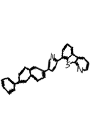 c1ccc(-c2ccc3cc(-c4ccc(-c5cccc6c5sc5ncccc56)nc4)ccc3c2)cc1